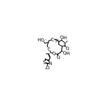 COc1nc(/C=C(\C)[C@@H]2CC[C@@](C)(CO)CCC[C@@H]3C[C@@](C)(C(=O)[C@H](C)[C@H]3O)[C@@H](O)CC(=O)O2)cs1